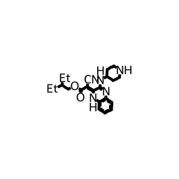 CCC(CC)COC(=O)/C(C#N)=C1\Nc2ccccc2N=C1NC1CCNCC1